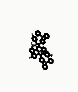 FB(F)n1c(/C(=C2\N=C(c3ccc(F)cc3)C(c3ccc4c5ccccc5n(-c5ccccc5)c4c3)=C2c2ccc(F)cc2)c2ccccc2F)c(-c2ccc(F)cc2)c(-c2ccc3c4ccccc4n(-c4ccccc4)c3c2)c1-c1ccc(F)cc1